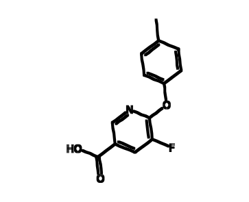 Cc1ccc(Oc2ncc(C(=O)O)cc2F)cc1